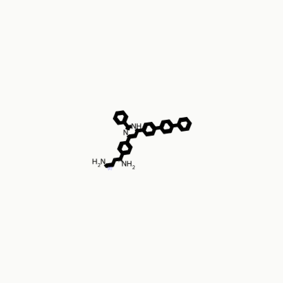 N/C=C\C[C@@H](N)c1ccc(C2=CC(c3ccc(-c4ccc(-c5ccccc5)cc4)cc3)NC(c3ccccc3)=N2)cc1